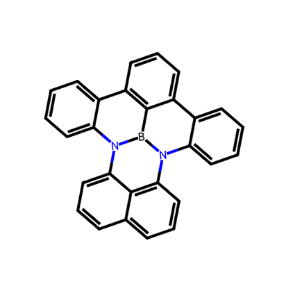 c1ccc2c(c1)-c1cccc3c1B1N2c2cccc4cccc(c24)N1c1ccccc1-3